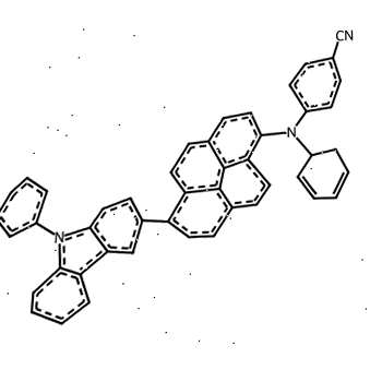 N#Cc1ccc(N(c2ccc3ccc4c(-c5ccc6c(c5)c5ccccc5n6-c5ccccc5)ccc5ccc2c3c54)C2C=CC=CC2)cc1